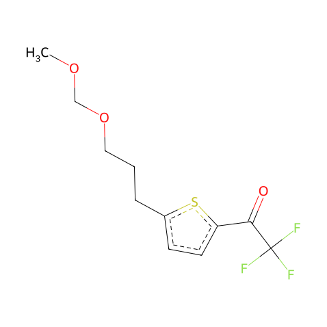 COCOCCCc1ccc(C(=O)C(F)(F)F)s1